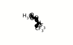 CS(=O)(=O)CC(=O)N1CC2(C1)OCc1cc(C3=NO[C@](c4cccc(C(F)(F)F)c4)(C(F)(F)F)C3)ccc12